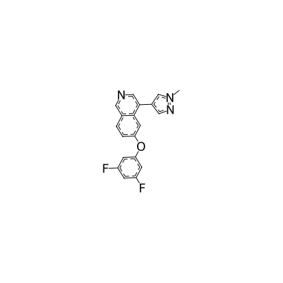 Cn1cc(-c2cncc3ccc(Oc4cc(F)cc(F)c4)cc23)cn1